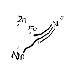 N#[C][Mn].[Fe].[Zn]